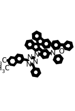 CC1Cc2ccc(-c3nc(-c4ccccc4)nc(-n4c5c(c6cc(N(c7ccccc7)c7cccc8c7oc7ccccc78)ccc64)C4(c6ccccc6-c6ccccc64)c4ccccc4-5)n3)cc2CC1C